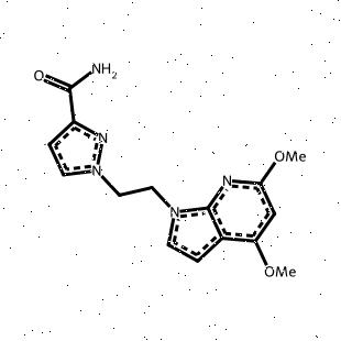 COc1cc(OC)c2ccn(CCn3c[c]c(C(N)=O)n3)c2n1